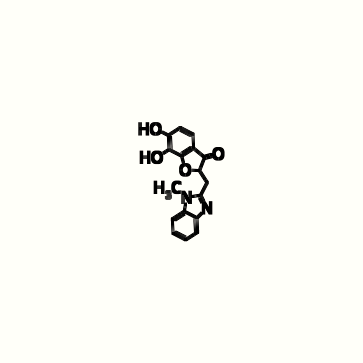 Cn1c(CC2Oc3c(ccc(O)c3O)C2=O)nc2ccccc21